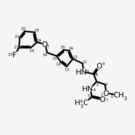 COCC(NC(C)=O)C(=O)NCc1ccc(COc2cccc(F)c2)cc1